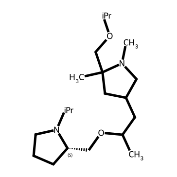 CC(C)OCC1(C)CC(CC(C)OC[C@@H]2CCCN2C(C)C)CN1C